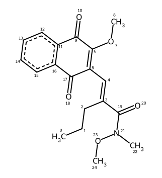 CCCC(=CC1=C(OC)C(=O)c2ccccc2C1=O)C(=O)N(C)OC